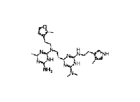 Cc1c[nH]cc1CCNC1=NC(CCN(CCc2ccoc2C)C2=NC(C)N=C(N)N2)N=C(N(C)C)N1